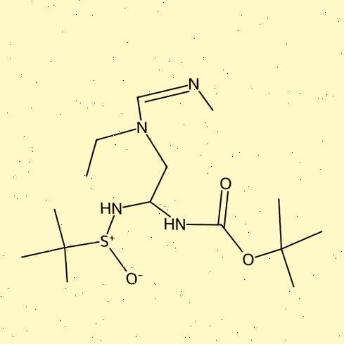 CCN(/C=N\C)CC(NC(=O)OC(C)(C)C)N[S+]([O-])C(C)(C)C